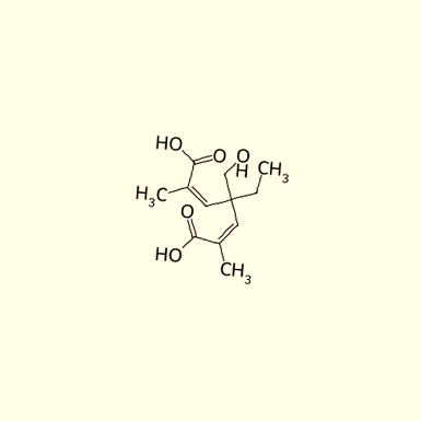 CCC(C=C(C)C(=O)O)(C=C(C)C(=O)O)CO